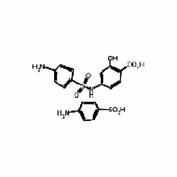 Nc1ccc(S(=O)(=O)Nc2ccc(C(=O)O)c(O)c2)cc1.Nc1ccc(S(=O)(=O)O)cc1